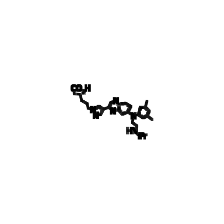 Cc1cc(C)cc(N(CCNC(C)C)c2ccc3ncc(-c4cnn(CCCCCC(=O)O)c4)nc3c2)c1